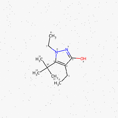 CCc1c(O)nn(CC)c1C(C)(C)C